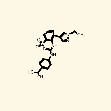 CCn1cc(-c2cccc3c2NC(Nc2ccc(C(C)C)cc2)=NS3(=O)=O)cn1